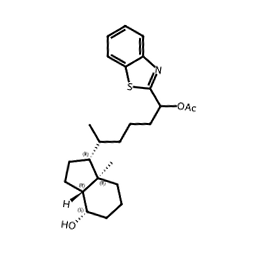 CC(=O)OC(CCCC(C)[C@H]1CC[C@H]2[C@@H](O)CCC[C@]12C)c1nc2ccccc2s1